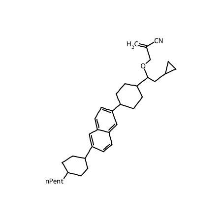 C=C(C#N)COC(CC1CC1)C1CCC(c2ccc3cc(C4CCC(CCCCC)CC4)ccc3c2)CC1